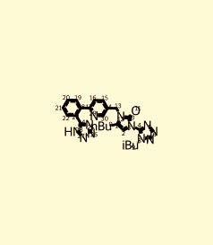 CCCCc1cn(-c2nnnn2C(C)CC)c(=O)n1Cc1ccc(-c2ccccc2-c2nnn[nH]2)nc1